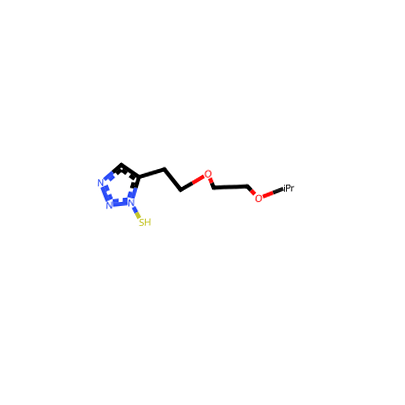 CC(C)OCCOCCc1cnnn1S